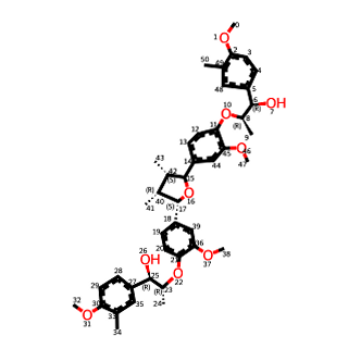 COc1ccc([C@@H](O)[C@@H](C)Oc2ccc(C3O[C@H](c4ccc(O[C@H](C)[C@H](O)c5ccc(OC)c(C)c5)c(OC)c4)[C@H](C)[C@@H]3C)cc2OC)cc1C